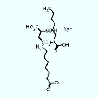 CCCCCCCC(=O)O.CCCCCCCC(=O)[O-].O=C(O)CC(C(=O)O)S(=O)(=O)O.[Na+]